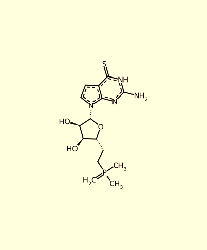 C=P(C)(C)CC[C@H]1O[C@@H](n2ccc3c(=S)[nH]c(N)nc32)[C@H](O)[C@@H]1O